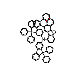 c1ccc(-c2ccccc2-c2cc3c(oc4cccc(N(c5ccc6c(c5)C(c5ccccc5)(c5ccccc5)c5ccccc5-6)c5ccc6c(c5)C(c5ccccc5)(c5ccccc5)c5ccccc5-6)c43)c3ccccc23)cc1